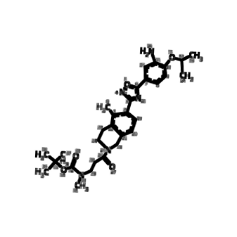 Cc1c(-c2noc(-c3ccc(OC(C)C)c(N)c3)n2)ccc2c1CCN(C(=O)CCN(C)C(=O)OC(C)(C)C)C2